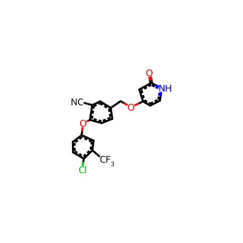 N#Cc1cc(COc2cc[nH]c(=O)c2)ccc1Oc1ccc(Cl)c(C(F)(F)F)c1